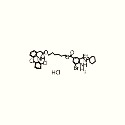 CCC1(NCc2cc(C(=O)OCCCCCCOC(=O)Cc3ccccc3Nc3c(Cl)cccc3Cl)cc(Br)c2N)CCCCC1.Cl